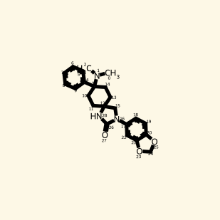 CN(C)C1(c2ccccc2)CCC2(CC1)CN(c1ccc3c(c1)OCO3)C(=O)N2